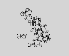 Cl.O=C(O)c1ccc(-c2cnc([C@@H]3CCc4nc(-c5cc(Cl)ccc5-n5cnnn5)cc(=O)n43)[nH]2)s1